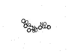 O=C(CN(CCOc1cccc2c3c(oc12)CCCC3)C(=O)c1ccccc1)c1ccc(OCc2ccccc2)c([N+](=O)[O-])c1